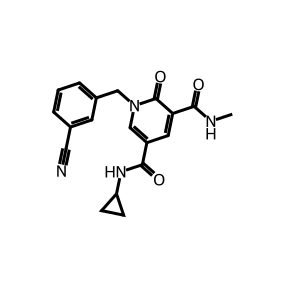 CNC(=O)c1cc(C(=O)NC2CC2)cn(Cc2cccc(C#N)c2)c1=O